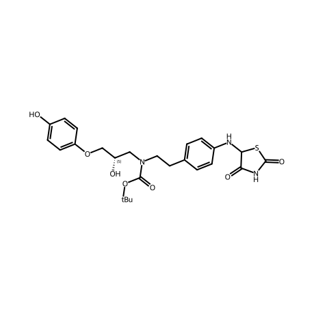 CC(C)(C)OC(=O)N(CCc1ccc(NC2SC(=O)NC2=O)cc1)C[C@H](O)COc1ccc(O)cc1